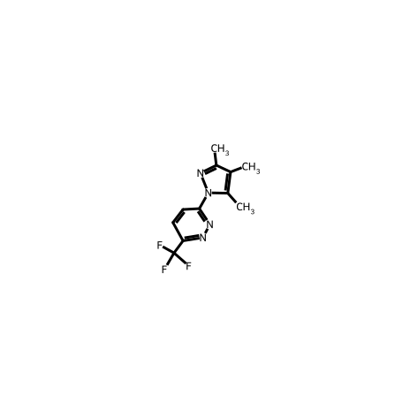 Cc1nn(-c2ccc(C(F)(F)F)nn2)c(C)c1C